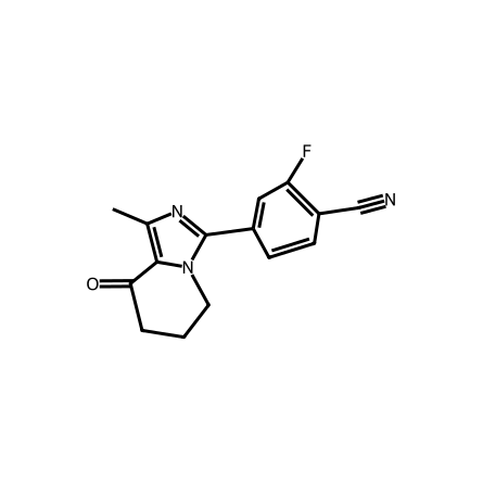 Cc1nc(-c2ccc(C#N)c(F)c2)n2c1C(=O)CCC2